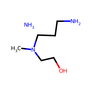 CN(CCO)CCCN.N